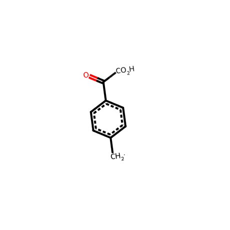 [CH2]c1ccc(C(=O)C(=O)O)cc1